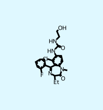 CCC1N=C(c2ccccc2F)c2c(ccc(NC(=O)NCCO)c2Cl)N(C)C1=O